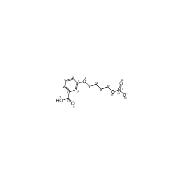 O=C(O)c1cccc(OCCCCO[N+](=O)[O-])c1